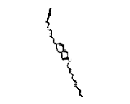 CC#CCCOCCCCc1ccc2cc(OCCCCCCCCCC)ccc2c1